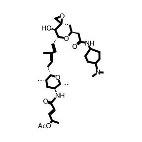 CC(=O)OC(C)C=CC(=O)N[C@@H]1C[C@H](C)[C@H](C/C=C(C)/C=C/[C@H]2O[C@H](CC(=O)NC3CCC(N(C)C)CC3)C[C@@]3(CO3)[C@@H]2O)O[C@@H]1C